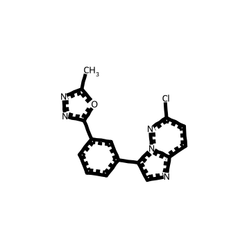 Cc1nnc(-c2cccc(-c3cnc4ccc(Cl)nn34)c2)o1